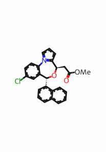 COC(=O)C[C@H]1O[C@H](c2cccc3ccccc23)c2cc(Cl)ccc2-n2cccc21